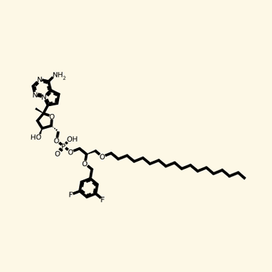 CCCCCCCCCCCCCCCCCCOC[C@H](COP(=O)(O)OC[C@H]1O[C@@](C)(c2ccc3c(N)ncnn23)C[C@@H]1O)OCc1cc(F)cc(F)c1